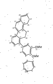 C1=CC=NCC=C1.COc1ccc(-c2cccc3c2CCc2c-3ccc3c2CCC=C3)cc1OC